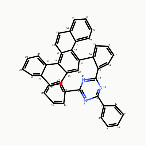 c1ccc(-c2nc(-c3ccccc3)nc(-c3ccccc3-c3cc4ccc5ccccc5c4c4ccc5ccccc5c34)n2)cc1